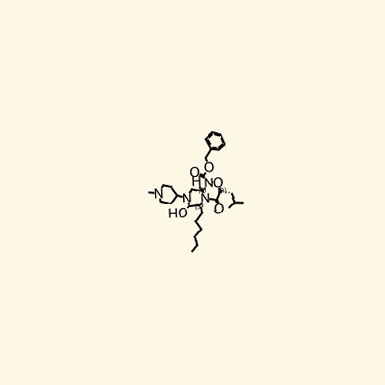 CCCCCC[C@H]1C(O)N(C2CCN(C)CC2)C[C@@H]2N(C(=O)OCc3ccccc3)O[C@H](CC(C)C)C(=O)N21